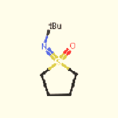 CC(C)(C)N=S1(=O)CCCC1